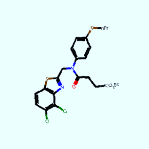 CCCSc1ccc(N(Cc2nc3c(Cl)c(Cl)ccc3s2)C(=O)CCC(=O)OCC)cc1